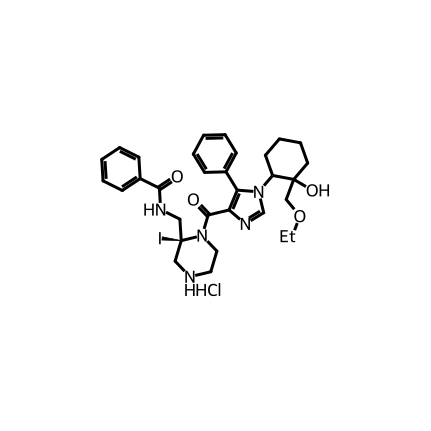 CCOCC1(O)CCCCC1n1cnc(C(=O)N2CCNC[C@]2(I)CNC(=O)c2ccccc2)c1-c1ccccc1.Cl